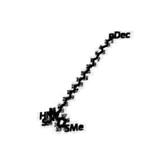 CCCCCCCCCCCCCCCCCCCCCCCCCCCCCCCCCC1=NNC(C=S)N1c1ccc(SC)cc1